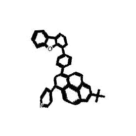 CC(C)(C)c1cc2ccc3c(-c4ccncc4)cc(-c4ccc(-c5cccc6c5oc5ccccc56)cc4)c4ccc(c1)c2c34